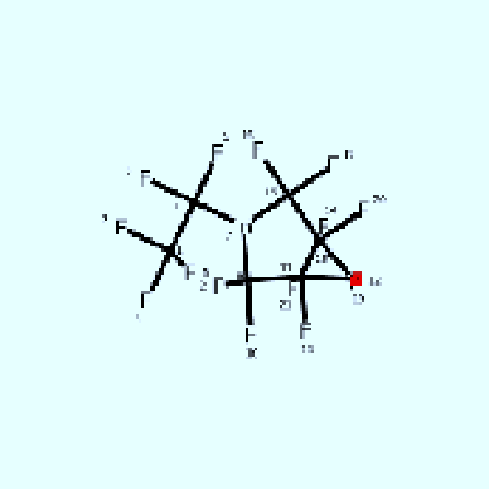 FC(F)(F)[C](F)(F)[In]([C](F)(F)C(F)(F)F)[C](F)(F)C(F)(F)F